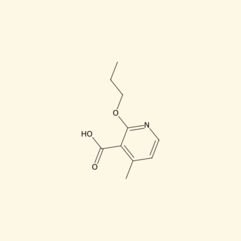 CCCOc1nccc(C)c1C(=O)O